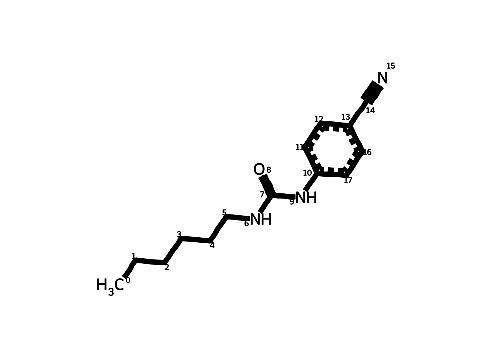 CCCCCCNC(=O)Nc1ccc(C#N)cc1